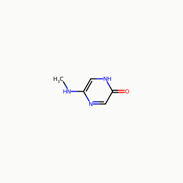 CNc1c[nH]c(=O)cn1